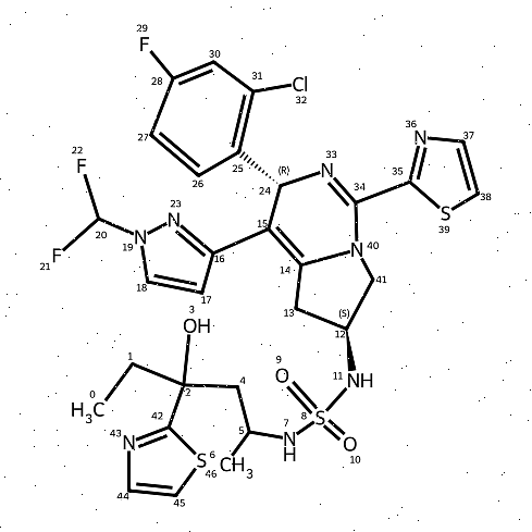 CCC(O)(CC(C)NS(=O)(=O)N[C@H]1CC2=C(c3ccn(C(F)F)n3)[C@H](c3ccc(F)cc3Cl)N=C(c3nccs3)N2C1)c1nccs1